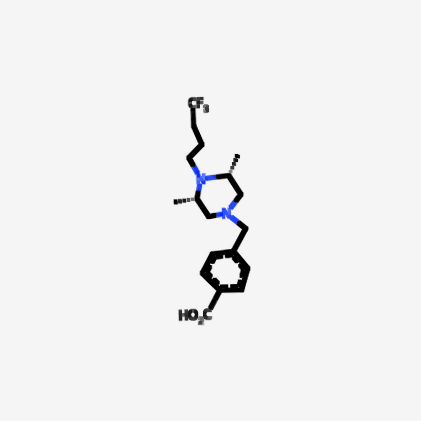 C[C@@H]1CN(Cc2ccc(C(=O)O)cc2)C[C@H](C)N1CCCC(F)(F)F